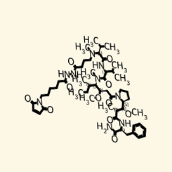 CC[C@H](C)[C@@H]([C@@H](CC(=O)N1CCC[C@H]1[C@H](OC)[C@@H](C)C(=O)N[C@@H](Cc1ccccc1)C(N)=O)OC)N(C)C(=O)[C@@H](NC(=O)[C@H](C(C)C)N(C)CCCC(=O)NNC(=O)CCCCCN1C(=O)C=CC1=O)C(C)C